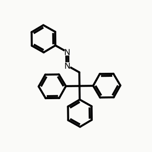 c1ccc(N=NCC(c2ccccc2)(c2ccccc2)c2ccccc2)cc1